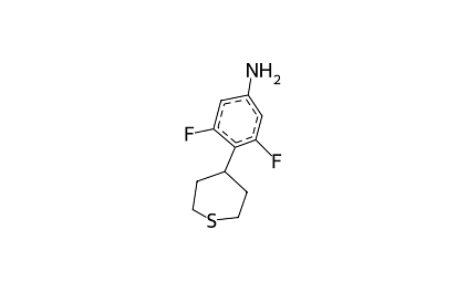 Nc1cc(F)c(C2CCSCC2)c(F)c1